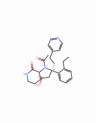 CCc1ccccc1[C@@](CCc1ccncc1)(CC(=O)O)N(C(C)=O)C1CCCNC1=O